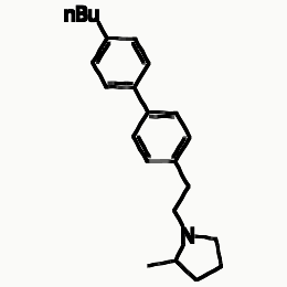 CCCCc1ccc(-c2ccc(CCN3CCCC3C)cc2)cc1